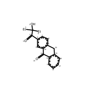 CCC(O)(CC)C(=O)c1ccc2c(c1)C(=O)c1ccccc1C2